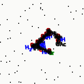 CC(=O)O[C@@H](C)/C=C\C(=O)N[C@@H]1C[C@H](C)[C@H](C/C=C(C)/C=C/[C@@H]2C[C@]3(CO3)C[C@@H](CC(=O)NCNC(=O)OCc3ccc(NC(=O)[C@H](CCCNC(N)=O)NC(=O)C(NC(=O)CCCCCNC(=O)CBr)C(C)C)cc3)O2)O[C@@H]1C